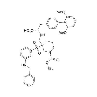 COc1cccc(OC)c1-c1ccc(C[C@H](NCC2(S(=O)(=O)c3cccc(NCc4ccccc4)c3)CCCN(C(=O)OC(C)(C)C)C2)C(=O)O)cc1